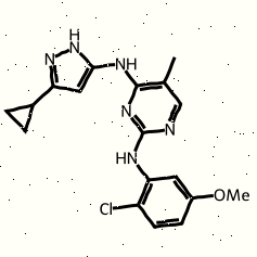 COc1ccc(Cl)c(Nc2ncc(C)c(Nc3cc(C4CC4)n[nH]3)n2)c1